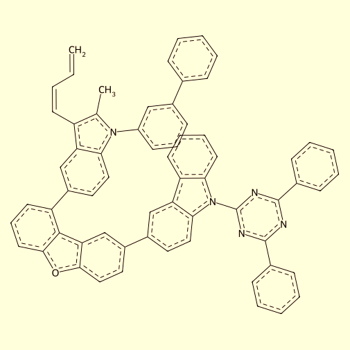 C=C/C=C\c1c(C)n(-c2cccc(-c3ccccc3)c2)c2ccc(-c3cccc4oc5ccc(-c6ccc7c(c6)c6ccccc6n7-c6nc(-c7ccccc7)nc(-c7ccccc7)n6)cc5c34)cc12